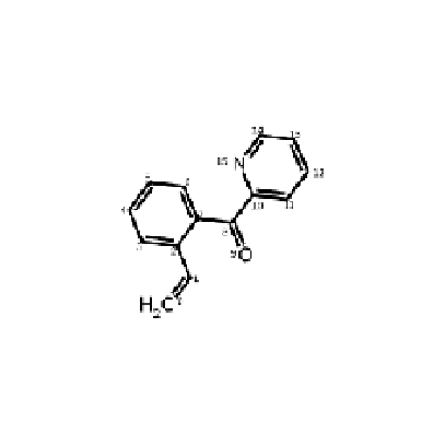 C=Cc1ccccc1C(=O)c1ccccn1